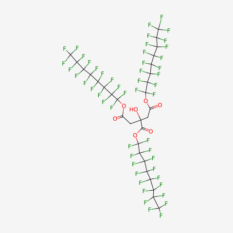 O=C(CC(O)(CC(=O)OC(F)(F)C(F)(F)C(F)(F)C(F)(F)C(F)(F)C(F)(F)C(F)(F)C(F)(F)F)C(=O)OC(F)(F)C(F)(F)C(F)(F)C(F)(F)C(F)(F)C(F)(F)C(F)(F)C(F)(F)F)OC(F)(F)C(F)(F)C(F)(F)C(F)(F)C(F)(F)C(F)(F)C(F)(F)C(F)(F)F